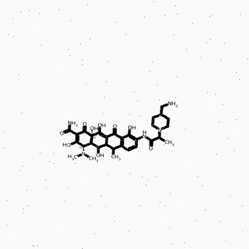 CC1c2ccc(NC(=O)C(C)N3CCC(CN)CC3)c(O)c2C(=O)C2=C(O)[C@]3(O)C(=O)C(C(N)=O)=C(O)[C@@H](N(C)C)C3C(O)C21